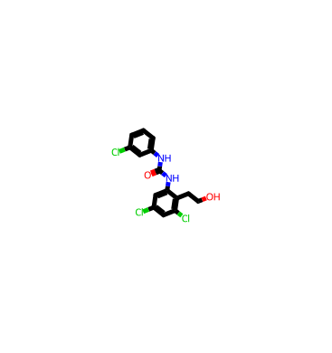 O=C(Nc1cccc(Cl)c1)Nc1cc(Cl)cc(Cl)c1CCO